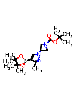 Cc1nn(C2CN(C(=O)OC(C)(C)C)C2)cc1B1OC(C)(C)C(C)(C)O1